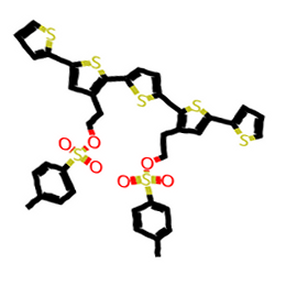 Cc1ccc(S(=O)(=O)OCCc2cc(-c3cccs3)sc2-c2ccc(-c3sc(-c4cccs4)cc3CCOS(=O)(=O)c3ccc(C)cc3)s2)cc1